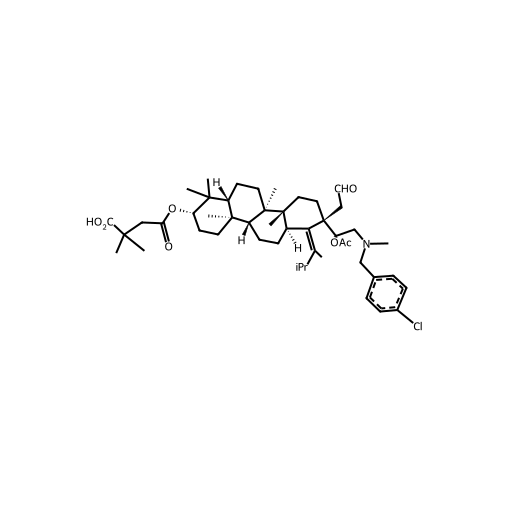 CC(=O)O[C@H](CN(C)Cc1ccc(Cl)cc1)[C@@]1(CC=O)CC[C@]2(C)[C@H](CC[C@@H]3[C@@]4(C)CC[C@H](OC(=O)CC(C)(C)C(=O)O)C(C)(C)[C@@H]4CC[C@]32C)/C1=C(/C)C(C)C